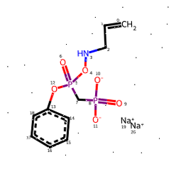 C=CCNOP(=O)(CP(=O)([O-])[O-])Oc1ccccc1.[Na+].[Na+]